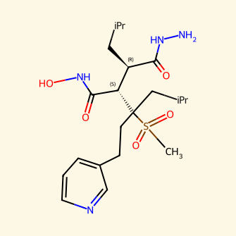 CC(C)C[C@@H](C(=O)NN)[C@@H](C(=O)NO)C(CCc1cccnc1)(CC(C)C)S(C)(=O)=O